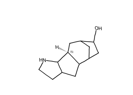 OC1CC2CC1C[C@H]1C2CC2CCNC21